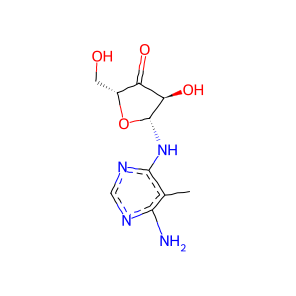 Cc1c(N)ncnc1N[C@@H]1O[C@H](CO)C(=O)[C@H]1O